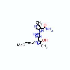 COCC#CCCn1nc(C)c(O)c1-c1n[nH]c(-n2nc(C(N)=O)c3cc(C)ncc32)n1